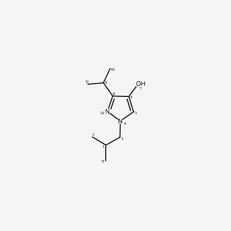 CC(C)Cn1cc(O)c(C(C)C)n1